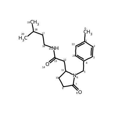 Cc1ccc(CN2C(=O)CCC2CC(=O)NCCC(C)C)cc1